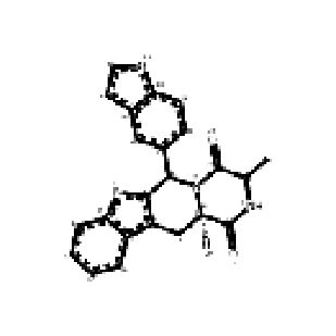 CC1NC(=O)[C@H]2Cc3c([nH]c4ccccc34)C(c3ccc4occc4c3)N2C1=O